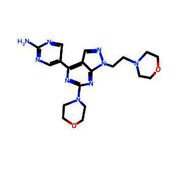 Nc1ncc(-c2nc(N3CCOCC3)nc3c2cnn3CCN2CCOCC2)cn1